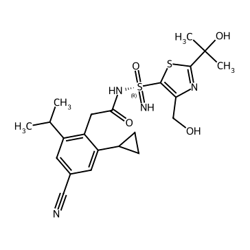 CC(C)c1cc(C#N)cc(C2CC2)c1CC(=O)N[S@](=N)(=O)c1sc(C(C)(C)O)nc1CO